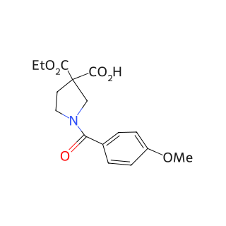 CCOC(=O)C1(C(=O)O)CCN(C(=O)c2ccc(OC)cc2)C1